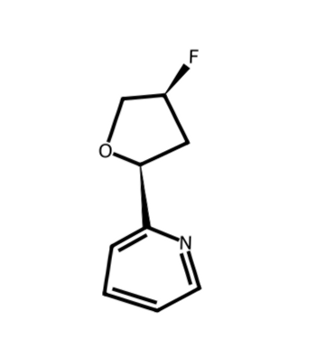 F[C@@H]1CO[C@H](c2ccccn2)C1